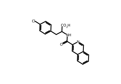 O=C(NC(Cc1ccc(Cl)cc1)C(=O)O)c1cc2ccccc2cn1